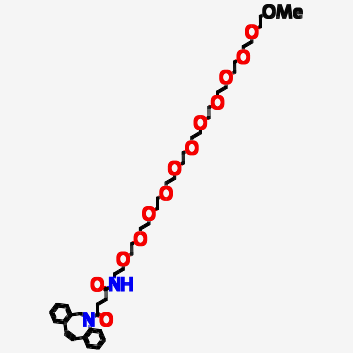 COCCOCCOCCOCCOCCOCCOCCOCCOCCOCCOCCOCCNC(=O)CCC(=O)N1Cc2ccccc2C#Cc2ccccc21